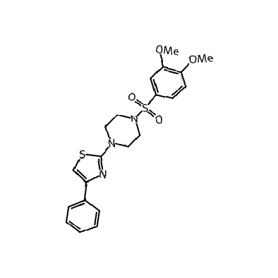 COc1ccc(S(=O)(=O)N2CCN(c3nc(-c4ccccc4)cs3)CC2)cc1OC